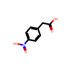 O=C(O)Cc1ccc([N+](=O)O)cc1